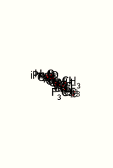 CC=Cc1cc(C(OCc2ccccc2)(C(F)(F)F)C(F)(F)F)ccc1N1C(=N)CN(C(=O)CC2C(=O)C(c3ccc(OC(C)C)cn3)N(C)C2=O)C[C@@H]1C